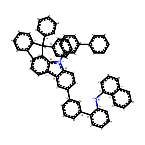 c1ccc(-c2cccc(-n3c4ccc(-c5cccc(-c6ccccc6Nc6cccc7ccccc67)c5)cc4c4ccc5c(c43)C(c3ccccc3)(c3ccccc3)c3ccccc3-5)c2)cc1